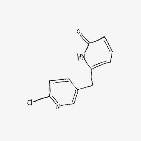 O=c1cccc(Cc2ccc(Cl)nc2)[nH]1